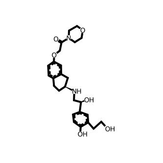 O=C(COc1ccc2c(c1)C[C@@H](NC[C@@H](O)c1ccc(O)c(CCO)c1)CC2)N1CCOCC1